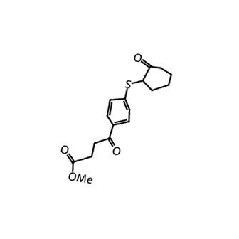 COC(=O)CCC(=O)c1ccc(SC2CCCCC2=O)cc1